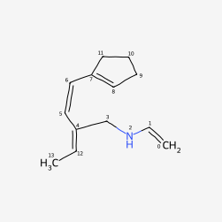 C=CNCC(/C=C\C1=CCCC1)=C/C